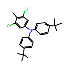 Cc1c(Cl)cc(N(c2ccc(C(C)(C)C)cc2)c2ccc(C(C)(C)C)cc2)cc1Cl